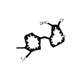 Cc1ccc(-c2ccnc(Cl)c2C=O)cc1C(F)(F)F